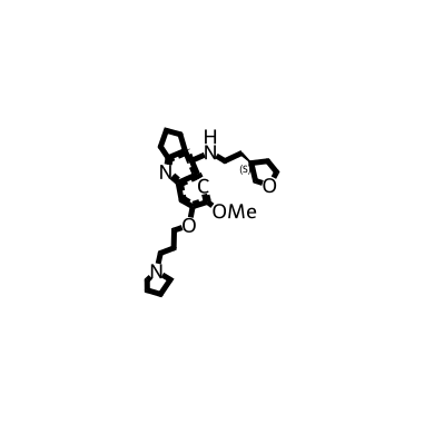 COc1cc2c(NCC[C@H]3CCOC3)c3c(nc2cc1OCCCN1CCCC1)CCC3